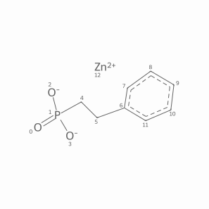 O=P([O-])([O-])CCc1ccccc1.[Zn+2]